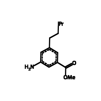 COC(=O)c1cc(N)cc(CCC(C)C)c1